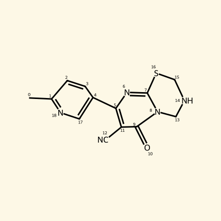 Cc1ccc(-c2nc3n(c(=O)c2C#N)CNCS3)cn1